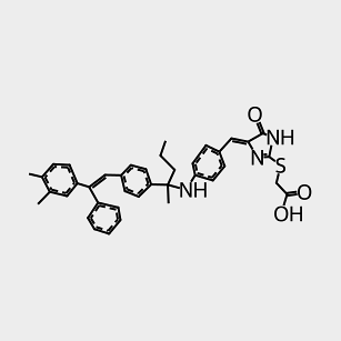 CCCC(C)(Nc1ccc(/C=C2\N=C(SCC(=O)O)NC2=O)cc1)c1ccc(/C=C(\c2ccccc2)c2ccc(C)c(C)c2)cc1